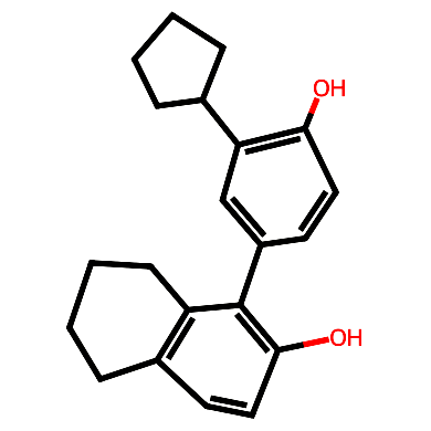 Oc1ccc(-c2c(O)ccc3c2CCCC3)cc1C1CCCC1